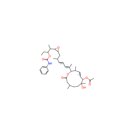 CCC(OC(=O)Nc1ccccc1)C(C)C1OC1CC(C)/C=C/C=C(\C)C1OC(=O)CC(C)CCC(C)(O)C(OC(C)=O)/C=C/C1C